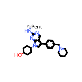 CCC[C@H](C)Nc1ncc2c(-c3ccc(CN4CCCCC4)cc3)cn([C@H]3CC[C@H](O)CC3)c2n1